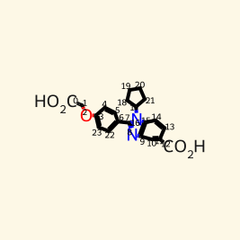 O=C(O)COc1ccc(-c2nc3cc(C(=O)O)ccc3n2C2CCCC2)cc1